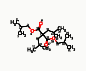 CC(C)COC(=O)C(CC(C)C)(CC(C)C)C(=O)OCC(C)C